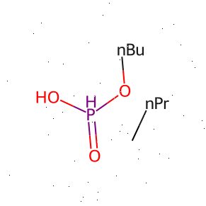 CCCC.CCCCO[PH](=O)O